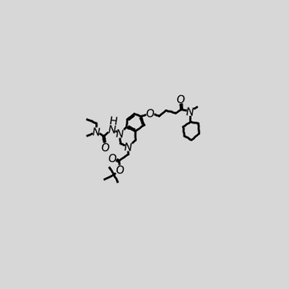 CCN(C)C(=O)NN1CN(CC(=O)OC(C)(C)C)Cc2cc(OCCCC(=O)N(C)C3CCCCC3)ccc21